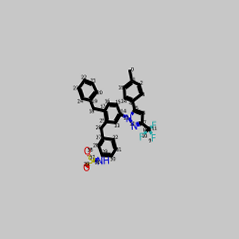 Cc1ccc(-c2cc(C(F)(F)F)nn2-c2ccc(Cc3ccccc3)c(Cc3ccccc3)c2)cc1.N=S(=O)=O